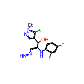 CCn1ncc(C(O)/C(=C/N=N)Nc2ccc(F)cc2I)c1Br